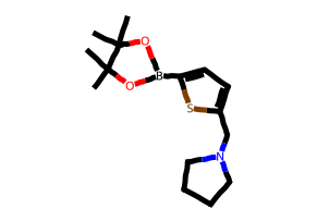 CC1(C)OB(c2ccc(CN3CCCC3)s2)OC1(C)C